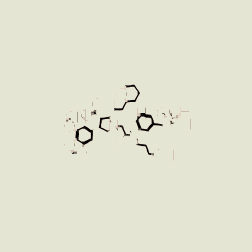 CCCCN(C(=O)CN1C[C@H](c2cc(OC)c3c(c2)OCO3)[C@@H](C(=O)O)[C@@H]1CCC1CCCCO1)c1cccc(C[N+](C)(C)C)c1